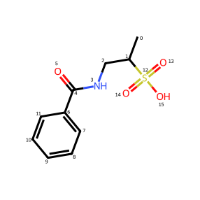 CC(CNC(=O)c1ccccc1)S(=O)(=O)O